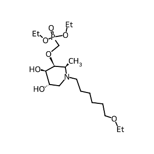 CCOCCCCCCN1C[C@H](O)[C@@H](O)[C@@H](OCP(=O)(OCC)OCC)[C@H]1C